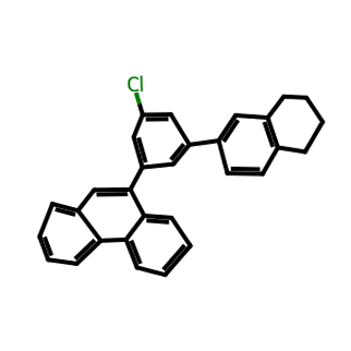 Clc1cc(-c2ccc3c(c2)CCCC3)cc(-c2cc3ccccc3c3ccccc23)c1